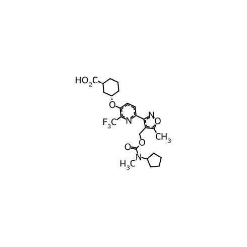 Cc1onc(-c2ccc(O[C@H]3CCC[C@H](C(=O)O)C3)c(C(F)(F)F)n2)c1COC(=O)N(C)C1CCCC1